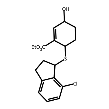 CCOC(=O)C1=CC(O)CCC1SC1CCc2cccc(Cl)c21